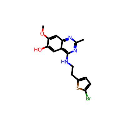 COc1cc2nc(C)nc(NCCc3ccc(Br)s3)c2cc1O